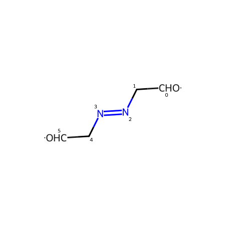 O=[C]C/N=N/C[C]=O